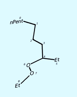 CCCCCCCCC(CC)OOCC